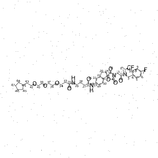 C[C@H](N(Cc1ccc(F)cc1)C(=O)CN1C(=O)O[C@@]2(CCc3cc(NC(=O)CCCNC(=O)CCOCCOCCOCCC4CCCC4)ccc32)C1=O)C(F)(F)F